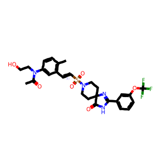 CC(=O)N(CCO)c1ccc(C)c(/C=C/S(=O)(=O)N2CCC3(CC2)N=C(c2cccc(OC(F)(F)F)c2)NC3=O)c1